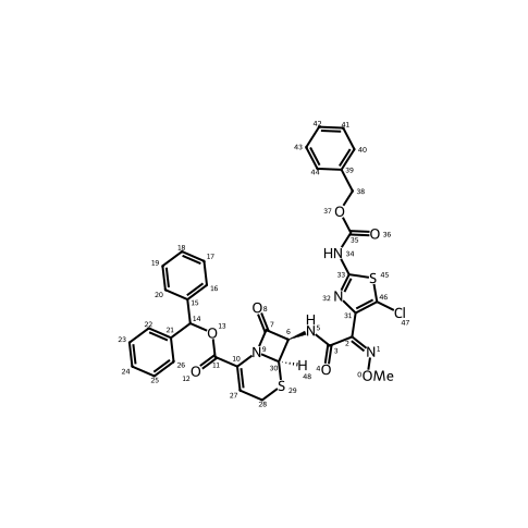 CO/N=C(\C(=O)N[C@@H]1C(=O)N2C(C(=O)OC(c3ccccc3)c3ccccc3)=CCS[C@H]12)c1nc(NC(=O)OCc2ccccc2)sc1Cl